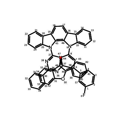 Fc1cccc(-c2cc(-n3c4ccccc4c4ccc5c6ccccc6n(-c6nc(-c7ccccc7)nc(-c7ccccc7)n6)c5c43)cc3c2oc2ccccc23)c1